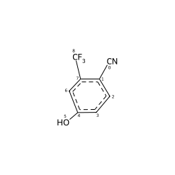 N#Cc1ccc(O)cc1C(F)(F)F